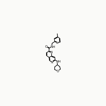 Cc1ccnc(CNC(=O)c2ccc3cnc(NC4CCOCC4)cc3n2)c1